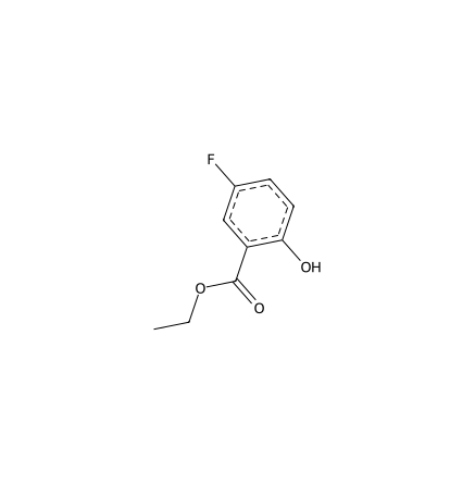 CCOC(=O)c1cc(F)ccc1O